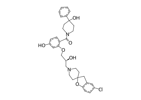 O=C(c1ccc(O)cc1OC[C@@H](O)CN1CCC2(CC1)Cc1cc(Cl)ccc1O2)N1CCC(O)(c2ccccc2)CC1